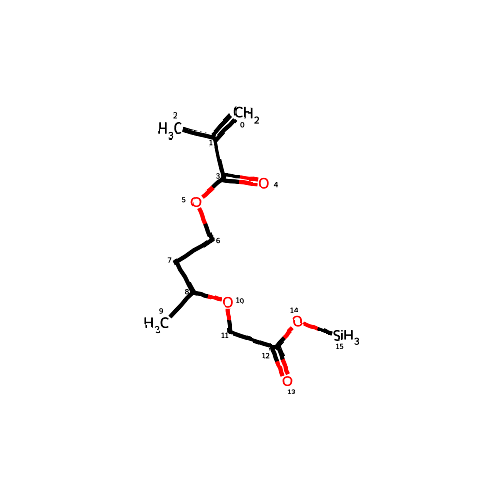 C=C(C)C(=O)OCCC(C)OCC(=O)O[SiH3]